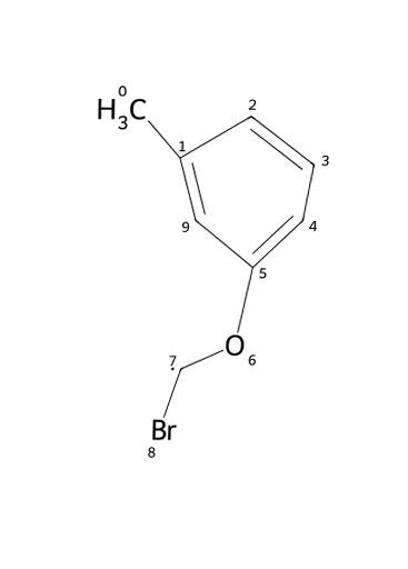 Cc1cccc(O[CH]Br)c1